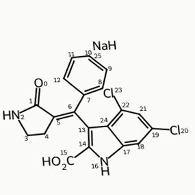 O=C1NCCC1=C(c1ccccc1)c1c(C(=O)O)[nH]c2cc(Cl)cc(Cl)c12.[NaH]